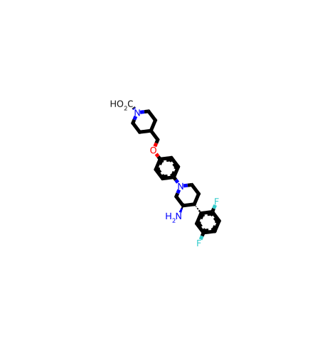 N[C@H]1CN(c2ccc(OCC3CCN(C(=O)O)CC3)cc2)CC[C@@H]1c1cc(F)ccc1F